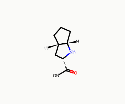 O=NC(=O)[C@@H]1C[C@@H]2CCC[C@@H]2N1